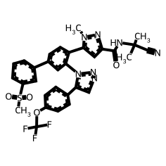 Cn1nc(C(=O)NC(C)(C)C#N)cc1-c1ccc(-c2cccc(S(C)(=O)=O)c2)cc1-n1nncc1-c1ccc(OC(F)(F)F)cc1